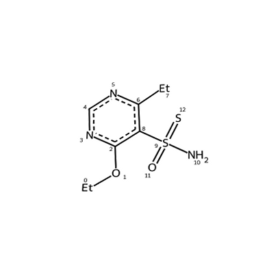 CCOc1ncnc(CC)c1S(N)(=O)=S